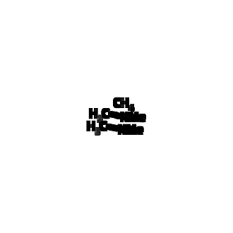 C.CNC.CNC